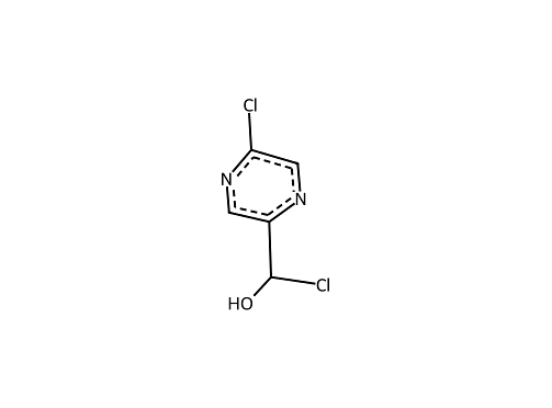 OC(Cl)c1cnc(Cl)cn1